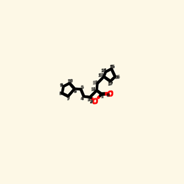 O=C1OC(CCC2CCCC2)C1CC1CCCC1